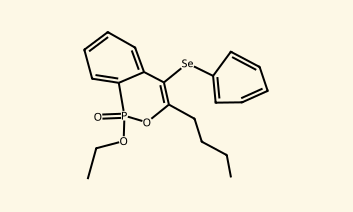 CCCCC1=C([Se]c2ccccc2)c2ccccc2P(=O)(OCC)O1